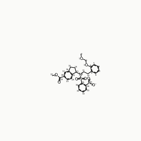 COCOc1ccccc1CCN(C1CCc2cc(C(=O)OC)ccc21)S(=O)(=O)c1ccccc1[N+](=O)[O-]